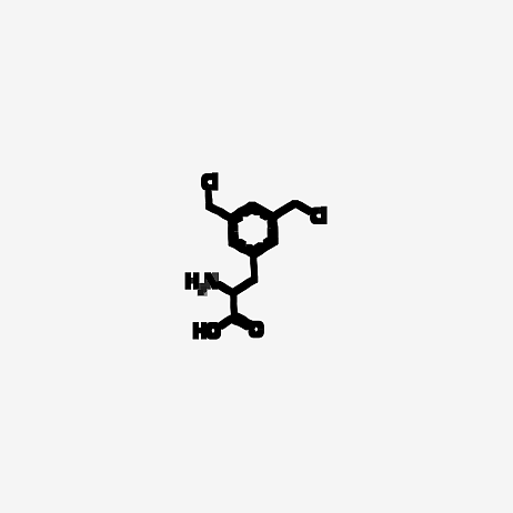 NC(Cc1cc(CCl)cc(CCl)c1)C(=O)O